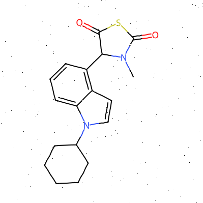 CN1C(=O)SC(=O)C1c1cccc2c1ccn2C1CCCCC1